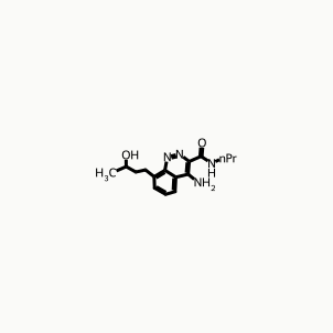 CCCNC(=O)c1nnc2c(CCC(C)O)cccc2c1N